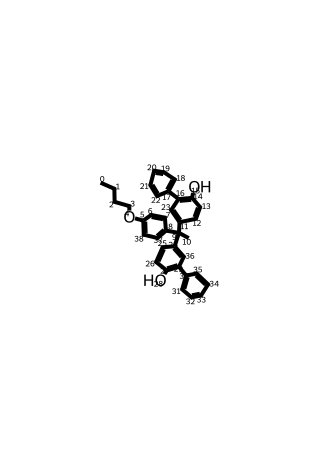 CCCCOc1ccc(C(C)(c2ccc(O)c(-c3ccccc3)c2)c2ccc(O)c(-c3ccccc3)c2)cc1